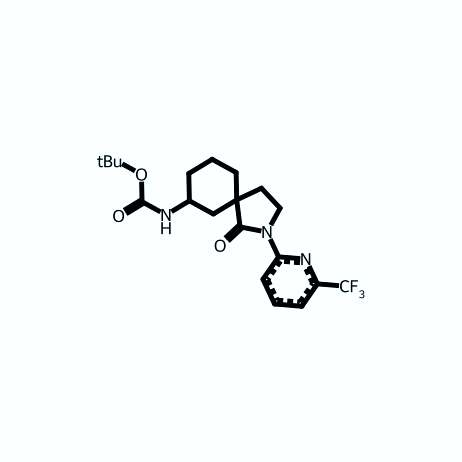 CC(C)(C)OC(=O)NC1CCCC2(CCN(c3cccc(C(F)(F)F)n3)C2=O)C1